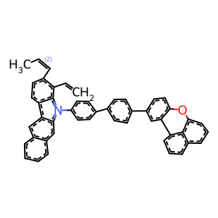 C=Cc1c(/C=C\C)ccc2c3cc4ccccc4cc3n(-c3ccc(-c4ccc(-c5ccc6c(c5)-c5cccc7cccc(c57)O6)cc4)cc3)c12